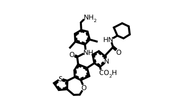 Cc1cc(CN)cc(C)c1NC(=O)c1cc2c(cc1-c1ccc(C(=O)NC3CCCCC3)nc1C(=O)O)OCCc1ccsc1-2